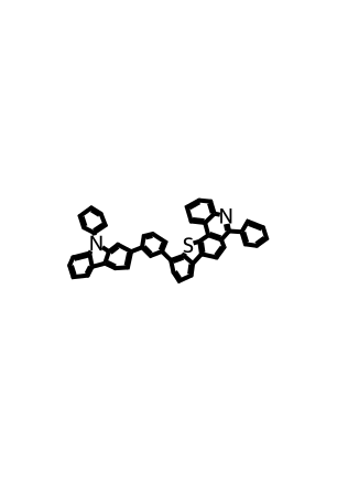 c1ccc(-c2nc3ccccc3c3c2ccc2c4cccc(-c5cccc(-c6ccc7c8ccccc8n(-c8ccccc8)c7c6)c5)c4sc23)cc1